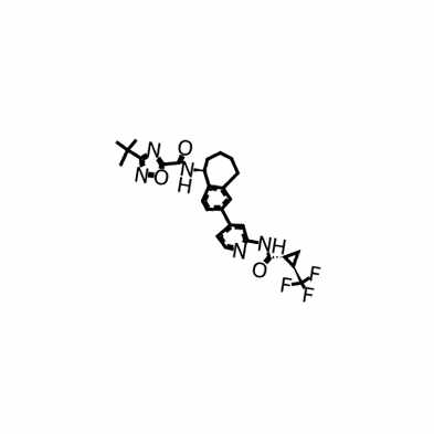 CC(C)(C)c1noc(C(=O)N[C@H]2CCCCc3cc(-c4ccnc(NC(=O)[C@@H]5C[C@H]5C(F)(F)F)c4)ccc32)n1